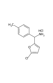 Cc1ccc(C(N)c2ccc(Cl)o2)cc1.Cl